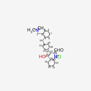 CN(C)Cc1ccccc1Cc1ccc(C2=C(O)c3ccccc3N(Cl)C2C=O)cc1